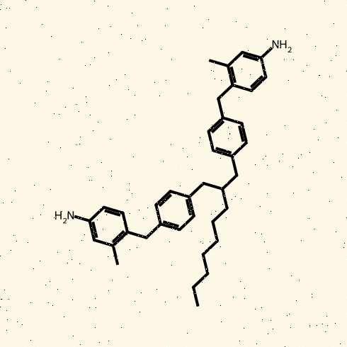 CCCCCCCC(Cc1ccc(Cc2ccc(N)cc2C)cc1)Cc1ccc(Cc2ccc(N)cc2C)cc1